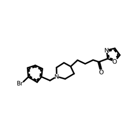 O=C(CCCC1CCN(Cc2cccc(Br)c2)CC1)c1ncco1